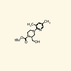 Cc1cnc(N2CCN(C(=O)OC(C)(C)C)[C@H](CO)C2)c(C)c1